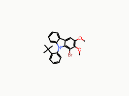 COc1cc2c3ccccc3n(-c3ccccc3C(C)(C)C)c2c(Br)c1OC